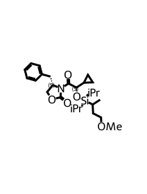 COCCC(C)[Si](O[C@H](C(=O)N1C(=O)OC[C@@H]1Cc1ccccc1)C1CC1)(C(C)C)C(C)C